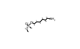 COP(C)(=O)OCCCCCCN